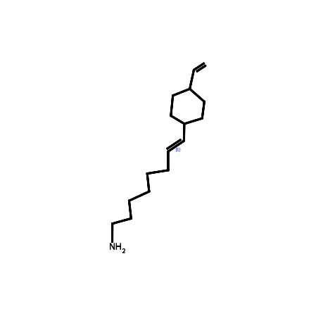 C=CC1CCC(/C=C/CCCCCCN)CC1